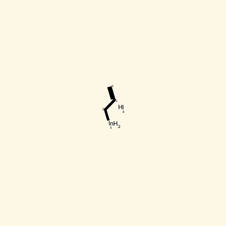 C=C[CH2][InH2].I